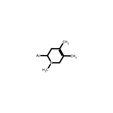 CC(=O)C1CC(C)=C(C)CN1C